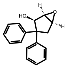 O[C@H]1[C@H]2O[C@H]2CC1(c1ccccc1)c1ccccc1